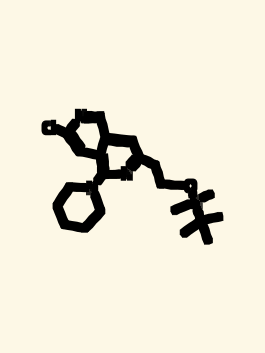 CC(C)(C)[Si](C)(C)OCCc1cc2cnc(Cl)cc2c(N2CCCCC2)n1